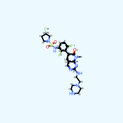 Cn1c(=O)c(-c2c(F)ccc(NS(=O)(=O)N3CC[C@@H](F)C3)c2F)cc2cnc(NCCN3CCNCC3)nc21